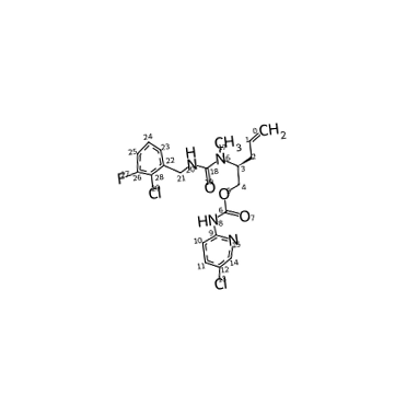 C=CC[C@@H](COC(=O)Nc1ccc(Cl)cn1)N(C)C(=O)NCc1cccc(F)c1Cl